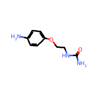 NC(=O)NCCOc1ccc(N)cc1